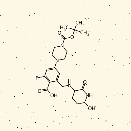 CC(C)(C)OC(=O)N1CCN(c2cc(F)c(C(=O)O)c(CNC3CCC(O)NC3=O)c2)CC1